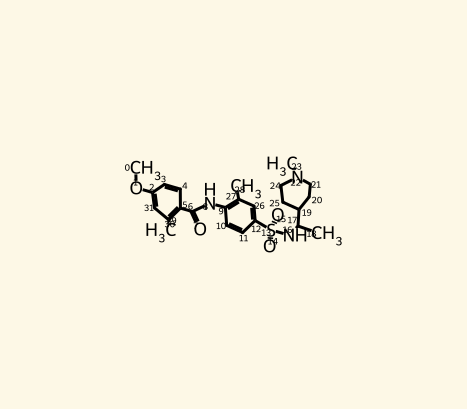 COc1ccc(C(=O)Nc2ccc(S(=O)(=O)NC(C)C3CCN(C)CC3)cc2C)c(C)c1